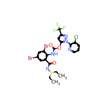 CCS(CC)=NC(=O)c1cc(Br)cc(Br)c1NC(=O)Oc1cc(C(F)(F)F)nn1-c1ncccc1Cl